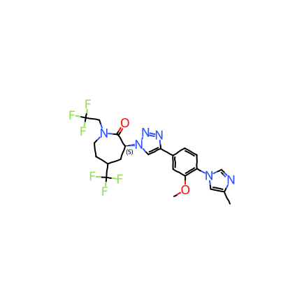 COc1cc(-c2cn([C@H]3CC(C(F)(F)F)CCN(CC(F)(F)F)C3=O)nn2)ccc1-n1cnc(C)c1